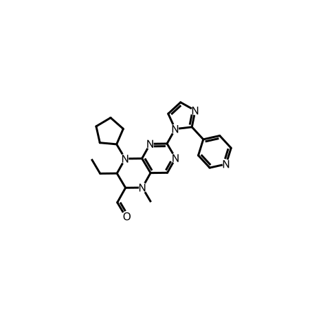 CCC1C(C=O)N(C)c2cnc(-n3ccnc3-c3ccncc3)nc2N1C1CCCC1